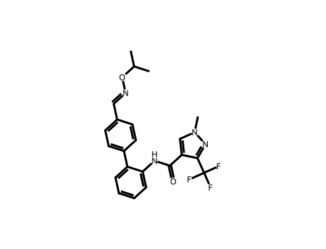 CC(C)O/N=C/c1ccc(-c2ccccc2NC(=O)c2cn(C)nc2C(F)(F)F)cc1